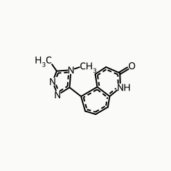 Cc1nnc(-c2cccc3[nH]c(=O)ccc23)n1C